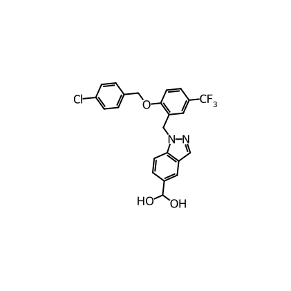 OC(O)c1ccc2c(cnn2Cc2cc(C(F)(F)F)ccc2OCc2ccc(Cl)cc2)c1